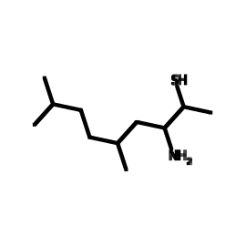 CC(C)CCC(C)CC(N)C(C)S